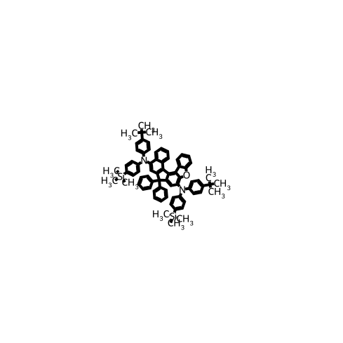 CC(C)(C)c1ccc(N(c2ccc([Si](C)(C)C)cc2)c2cc3c(c4ccccc24)-c2c(cc(N(c4ccc(C(C)(C)C)cc4)c4ccc([Si](C)(C)C)cc4)c4oc5ccccc5c24)C3(c2ccccc2)c2ccccc2)cc1